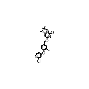 CN1c2cc(OCc3ccc(Oc4ccnc(Cl)c4)c(F)c3)nc(=O)n2CC1(C)C